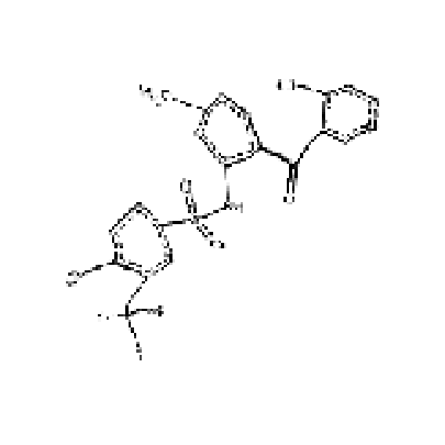 Cc1cnc(C(=O)c2ccccc2Cl)c(NS(=O)(=O)c2ccc(Cl)c(C(F)(F)F)c2)c1